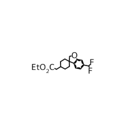 CCOC(=O)CC1CCC2(CC1)COc1cc(C(F)F)ccc12